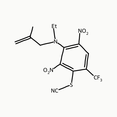 C=C(C)CN(CC)c1c([N+](=O)[O-])cc(C(F)(F)F)c(SC#N)c1[N+](=O)[O-]